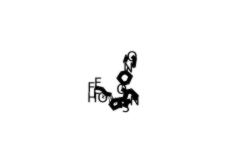 O[C@@H](C[C@H]1CCc2sc3nccc(O[C@H]4CC[C@H](N5CCOCC5)CC4)c3c21)CC(F)(F)F